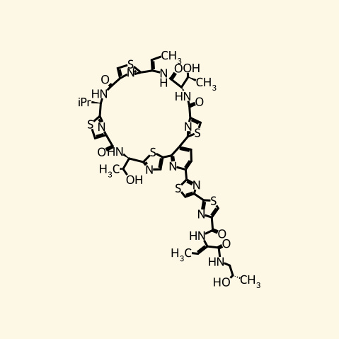 C/C=C(\NC(=O)c1csc(-c2csc(-c3ccc4c(n3)-c3cnc(s3)[C@@H]([C@H](C)O)NC(=O)c3csc(n3)[C@@H](C(C)C)NC(=O)c3csc(n3)/C(=C/C)NC(=O)[C@H]([C@H](C)O)NC(=O)c3csc-4n3)n2)n1)C(=O)NC[C@H](C)O